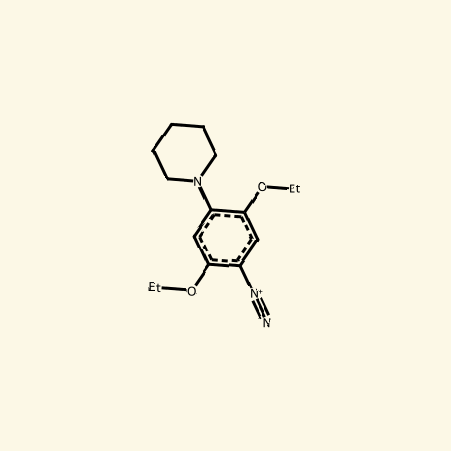 CCOc1cc(N2CCCCC2)c(OCC)cc1[N+]#N